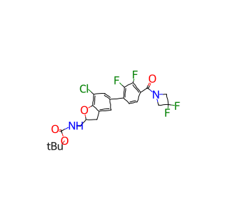 CC(C)(C)OC(=O)NCC1Cc2cc(-c3ccc(C(=O)N4CC(F)(F)C4)c(F)c3F)cc(Cl)c2O1